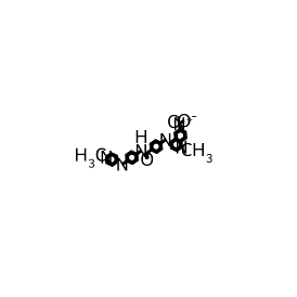 Cn1ccc(=Nc2ccc(NC(=O)c3ccc(N=c4ccn(C)c5ccc([N+](=O)[O-])cc45)cc3)cc2)cc1